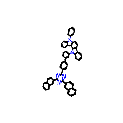 c1ccc(-n2c3ccccc3c3c2ccc2c4ccccc4n(-c4cccc(-c5ccc(-c6nc(-c7ccc8ccccc8c7)nc(-c7ccc8ccccc8c7)n6)cc5)c4)c23)cc1